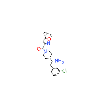 Cc1cc(C(=O)N2CCC(C(N)Cc3cccc(Cl)c3)CC2)no1